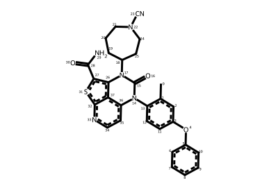 Cc1cc(Oc2ccccc2)ccc1N1C(=O)N(C2CCCN(C#N)CC2)c2c(C(N)=O)sc3nccc1c23